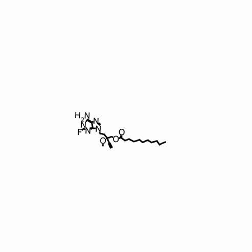 C#CC(CCn1cnc2c(N)nc(F)nc21)(COC(=O)CCCCCCCCCC)OC